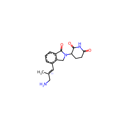 C/C(=C\c1cccc2c1CN(C1CCC(=O)NC1=O)C2=O)CN